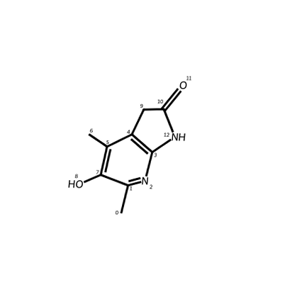 Cc1nc2c(c(C)c1O)CC(=O)N2